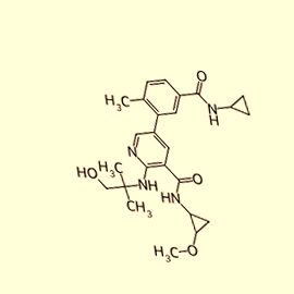 COC1CC1NC(=O)c1cc(-c2cc(C(=O)NC3CC3)ccc2C)cnc1NC(C)(C)CO